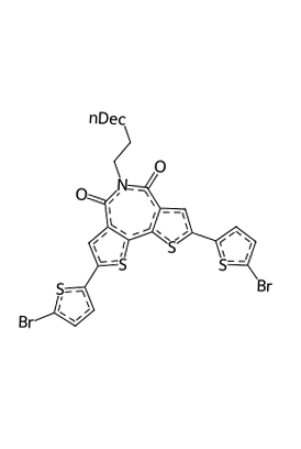 CCCCCCCCCCCCn1c(=O)c2cc(-c3ccc(Br)s3)sc2c2sc(-c3ccc(Br)s3)cc2c1=O